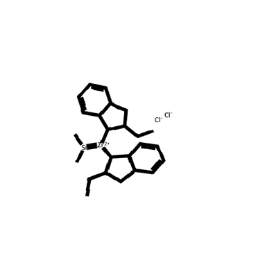 CCC1CC2C=CC=CC2[CH]1[Zr+2]([CH]1C(CC)CC2C=CC=CC21)=[Si](C)C.[Cl-].[Cl-]